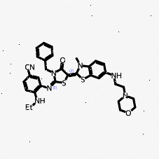 CCNc1ccc(C#N)cc1/N=C1/S/C(=C2\Sc3cc(NCCN4CCOCC4)ccc3N2C)C(=O)N1Cc1ccccc1